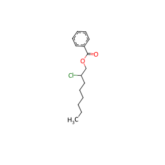 CCCCCCC(Cl)COC(=O)c1ccccc1